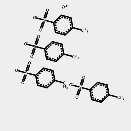 Cc1ccc(S(=O)(=O)[O-])cc1.Cc1ccc(S(=O)(=O)[O-])cc1.Cc1ccc(S(=O)(=O)[O-])cc1.Cc1ccc(S(=O)(=O)[O-])cc1.[Zr+4]